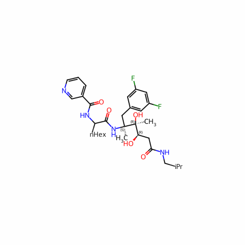 CCCCCCC(NC(=O)c1cccnc1)C(=O)N[C@@](C)(Cc1cc(F)cc(F)c1)[C@@](C)(O)[C@H](O)CC(=O)NCC(C)C